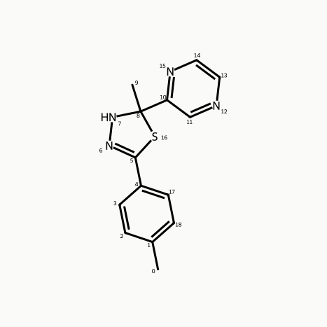 Cc1ccc(C2=NNC(C)(c3cnccn3)S2)cc1